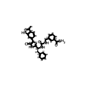 Cc1n[nH]c2cc(-c3nc([C@H](Cc4ccccc4)NC(=O)NCc4cccc(C(N)=O)c4)[nH]c3Cl)ccc12